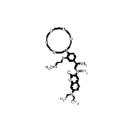 CCN(CC)c1ccc2cc(N(N)/C=C(\N)c3ccc(N4CCOCCOCCOCCOCCOCC4)c(OCCOC)c3)c(=O)oc2c1